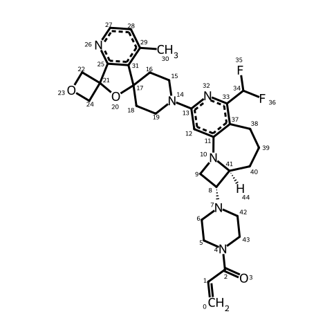 C=CC(=O)N1CCN([C@@H]2CN3c4cc(N5CCC6(CC5)OC5(COC5)c5nccc(C)c56)nc(C(F)F)c4CCC[C@@H]23)CC1